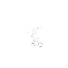 C[C@H](NC(=O)OC(C)(C)C)C(=O)Nc1sc2c(c1C(=O)c1c(F)cccc1F)CCC2